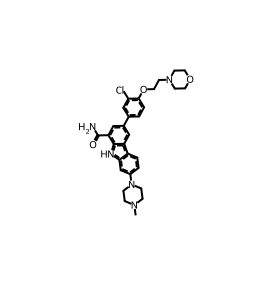 CN1CCN(c2ccc3c(c2)[nH]c2c(C(N)=O)cc(-c4ccc(OCCN5CCOCC5)c(Cl)c4)cc23)CC1